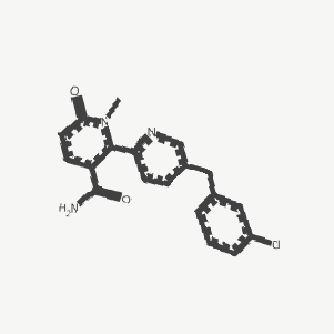 Cn1c(-c2ccc(Cc3cccc(Cl)c3)cn2)c(C(N)=O)ccc1=O